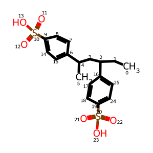 CCC(CC(C)c1ccc(S(=O)(=O)O)cc1)c1ccc(S(=O)(=O)O)cc1